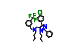 CCCCN(Cc1cccc(C(F)(F)F)c1)Cc1c(-c2ccc(Cl)cc2)nc(-c2ccccc2)n1CCCC